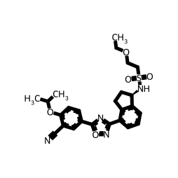 CCOCCS(=O)(=O)N[C@@H]1CCc2c(-c3noc(-c4ccc(OC(C)C)c(C#N)c4)n3)cccc21